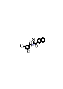 N#C/C(=N\Nc1cc(Cl)cc(Cl)c1)C(=O)c1ccc2c(c1)CCCC2